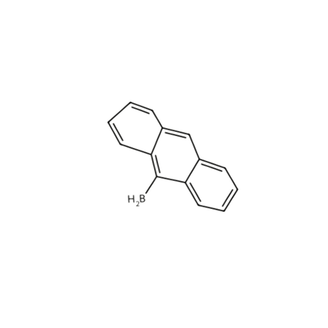 Bc1c2ccccc2cc2ccccc12